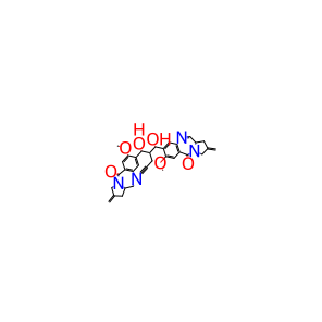 C#CCC(C(O)c1cc2c(cc1OC)C(=O)N1CC(=C)CC1C=N2)C(O)c1cc2c(cc1OC)C(=O)N1CC(=C)CC1C=N2